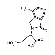 Cc1cccc2c1CN(C(CCC(=O)O)C(N)=O)C2=O